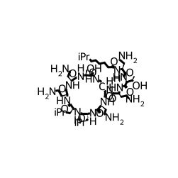 CC(C)CCCCCC(=O)N[C@@H](CCN)C(=O)N[C@H](C(=O)N[C@@H](CCN)C(=O)N[C@H]1CCNC(=O)[C@H](CO)NC(=O)[C@H](CCN)NC(=O)[C@H](CCN)NC(=O)[C@H](CC(C)C)NC(=O)[C@@H](CC(C)C)NC(=O)[C@H](CCN)NC1=O)[C@@H](C)O